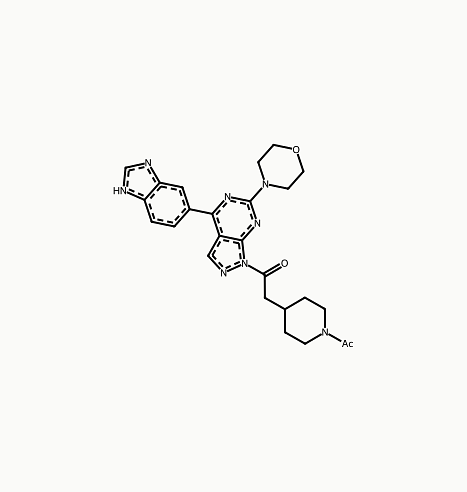 CC(=O)N1CCC(CC(=O)n2ncc3c(-c4ccc5[nH]cnc5c4)nc(N4CCOCC4)nc32)CC1